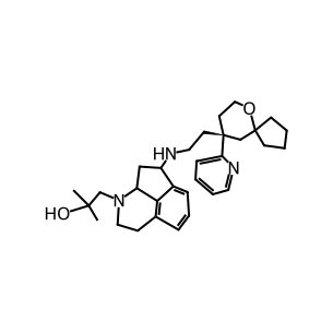 CC(C)(O)CN1CCc2cccc3c2C1CC3NCC[C@@]1(c2ccccn2)CCOC2(CCCC2)C1